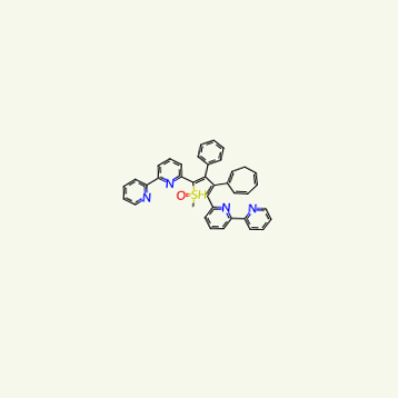 C[SH]1(=O)C(c2cccc(-c3ccccn3)n2)=C(C2=CCC=CC=C2)C(c2ccccc2)=C1c1cccc(-c2ccccn2)n1